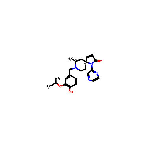 CC(C)Oc1cc(CN2CC[C@]3(C=CC(=O)N3c3cnccn3)C[C@@H]2C)ccc1O